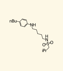 CCCCc1ccc(NCCCCCNS(=O)(=O)CC(C)C)cc1